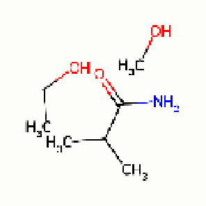 CC(C)C(N)=O.CCO.CO